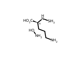 NCCC[C@H](N[SiH3])C(=O)O.NO